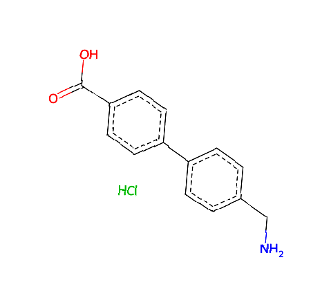 Cl.NCc1ccc(-c2ccc(C(=O)O)cc2)cc1